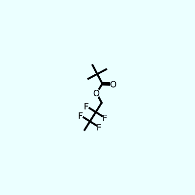 CC(C)(C)C(=O)OCC(F)(F)C(C)(F)F